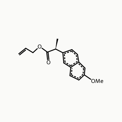 C=CCOC(=O)[C@@H](C)c1ccc2cc(OC)ccc2c1